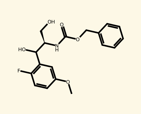 COc1ccc(F)c(C(O)[C@@H](CO)NC(=O)OCc2ccccc2)c1